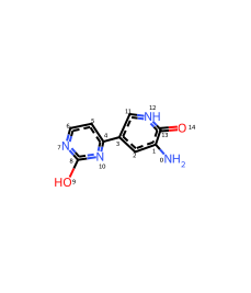 Nc1cc(-c2ccnc(O)n2)c[nH]c1=O